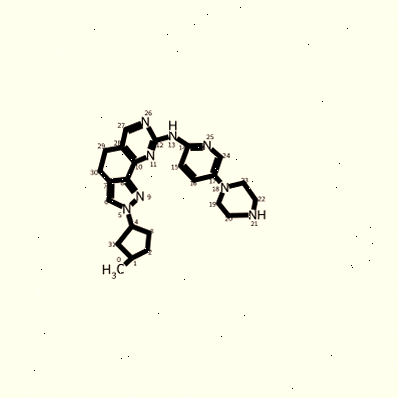 CC1CCC(n2cc3c(n2)-c2nc(Nc4ccc(N5CCNCC5)cn4)ncc2CC3)C1